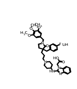 COc1cc(CN2CCC(CCCN3CCC(Nc4nc5ccccc5n4CC(=O)O)CC3)(Cc3ccc(F)cc3)C2=O)cc(OC)c1OC.[LiH]